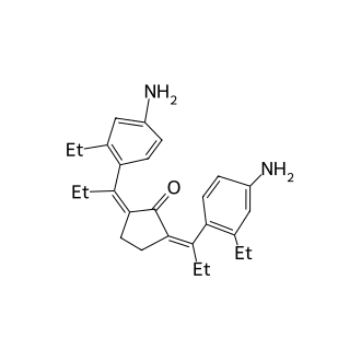 CCC(=C1CCC(=C(CC)c2ccc(N)cc2CC)C1=O)c1ccc(N)cc1CC